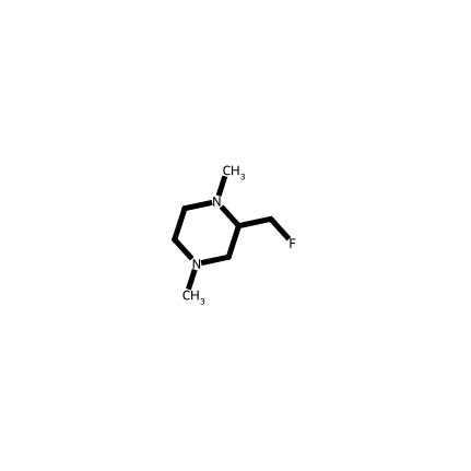 CN1CCN(C)C(CF)C1